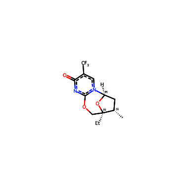 CC[C@@]12COc3nc(=O)c(C(F)(F)F)cn3[C@@H](C[C@@H]1C)O2